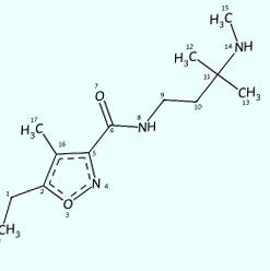 CCc1onc(C(=O)NCCC(C)(C)NC)c1C